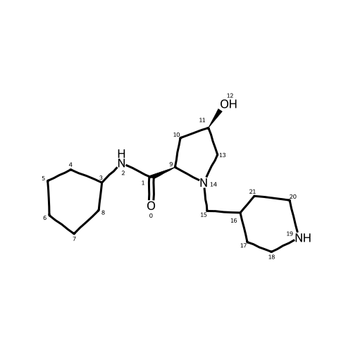 O=C(NC1CCCCC1)[C@H]1C[C@@H](O)CN1CC1CCNCC1